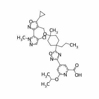 CCCC1(c2nc(-c3cc(OC(C)C)nc(C(=O)O)c3)no2)CCC(C)(OCc2c(-c3c(Cl)cnn3C)noc2C2CC2)CC1